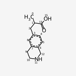 CC(Cc1ccc2c(c1)CCNC2)C(=O)O